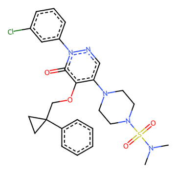 CN(C)S(=O)(=O)N1CCN(c2cnn(-c3cccc(Cl)c3)c(=O)c2OCC2(c3ccccc3)CC2)CC1